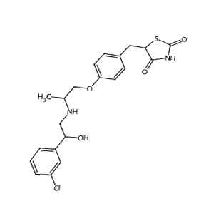 CC(COc1ccc(CC2SC(=O)NC2=O)cc1)NCC(O)c1cccc(Cl)c1